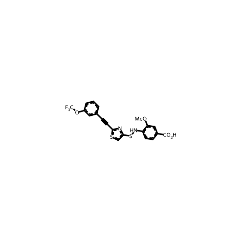 COc1cc(C(=O)O)ccc1NSc1csc(C#Cc2cccc(OC(F)(F)F)c2)n1